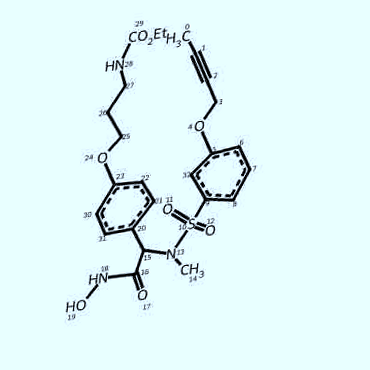 CC#CCOc1cccc(S(=O)(=O)N(C)C(C(=O)NO)c2ccc(OCCCNC(=O)OCC)cc2)c1